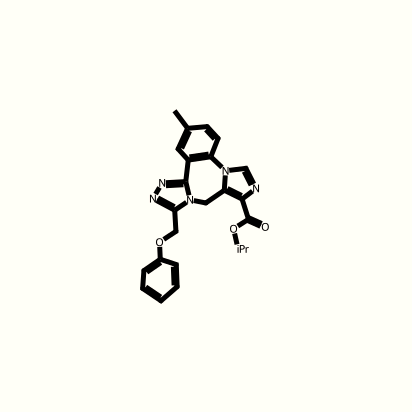 Cc1ccc2c(c1)-c1nnc(COc3ccccc3)n1Cc1c(C(=O)OC(C)C)ncn1-2